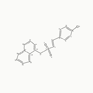 O=S(=O)(C=Cc1ccc(Cl)cc1)Cc1cccc2ccccc12